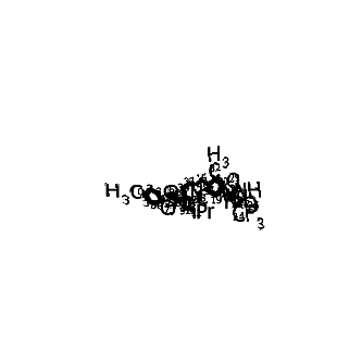 Cc1ccc(S(=O)(=O)n2cc(C(C)C)c3nc(Cc4c(C)cc(-n5nc(C(F)(F)F)c(=O)[nH]c5=O)cc4C)ccc32)cc1